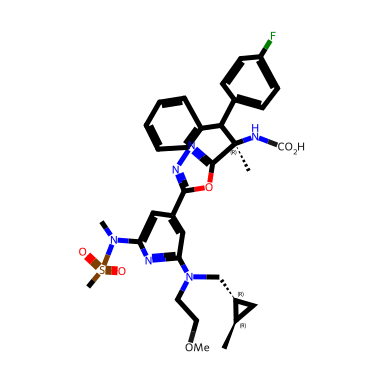 COCCN(C[C@@H]1C[C@H]1C)c1cc(-c2nnc([C@](C)(NC(=O)O)C(c3ccccc3)c3ccc(F)cc3)o2)cc(N(C)S(C)(=O)=O)n1